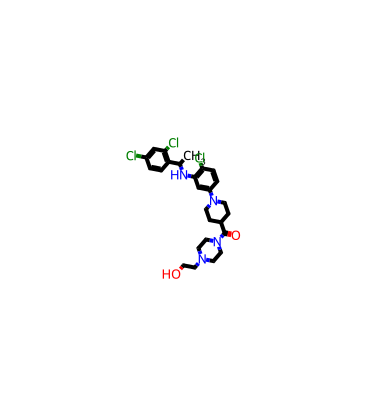 CC(Nc1cc(N2CCC(C(=O)N3CCN(CCO)CC3)CC2)ccc1Cl)c1ccc(Cl)cc1Cl